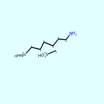 CCCCCCCCCCCCCN.CS(=O)(=O)O